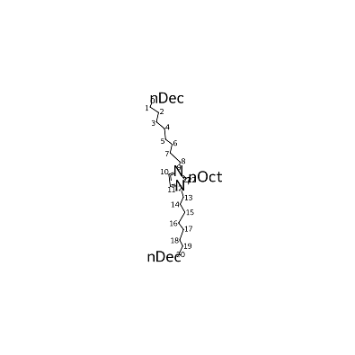 CCCCCCCCCCCCCCCCCCn1cc[n+](CCCCCCCCCCCCCCCCC)c1CCCCCCCC